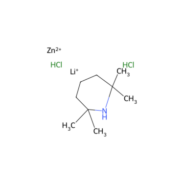 CC1(C)CCCC(C)(C)N1.Cl.Cl.[Li+].[Zn+2]